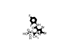 CC(OP(=O)(O)O)n1nc(Br)c(Br)c1C(=O)Nc1ccc(F)cc1F